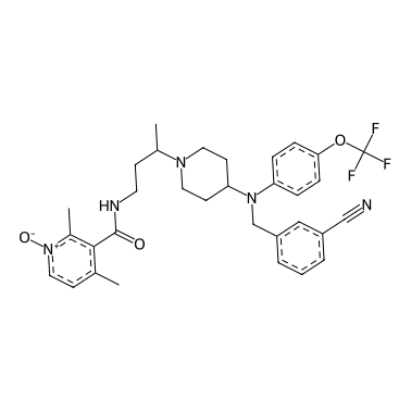 Cc1cc[n+]([O-])c(C)c1C(=O)NCCC(C)N1CCC(N(Cc2cccc(C#N)c2)c2ccc(OC(F)(F)F)cc2)CC1